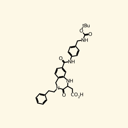 CC(C)(C)OC(=O)NCc1ccc(NC(=O)c2ccc3c(c2)NC(CC(=O)O)C(=O)N(CCc2ccccc2)C3)cc1